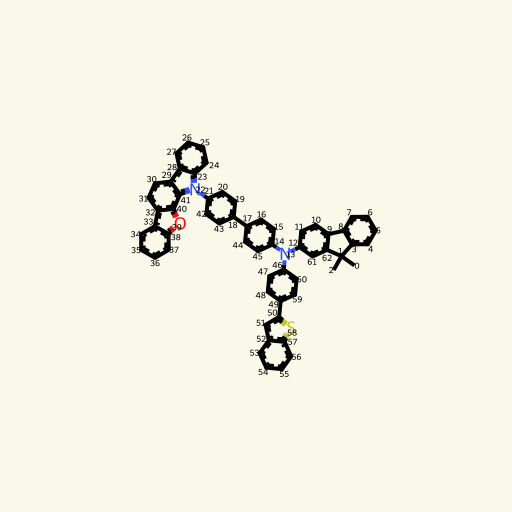 CC1(C)c2ccccc2-c2ccc(N(c3ccc(-c4ccc(-n5c6ccccc6c6ccc7c8ccccc8oc7c65)cc4)cc3)c3ccc(-c4cc5ccccc5s4)cc3)cc21